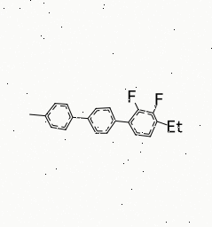 CCc1ccc(-c2ccc(-c3ccc(C)cc3)cc2)c(F)c1F